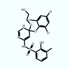 Cc1cccc(S(=O)(=O)NC2=CC(OCCO)(Oc3c(Cl)cc(Cl)cc3Cl)NC=N2)c1O